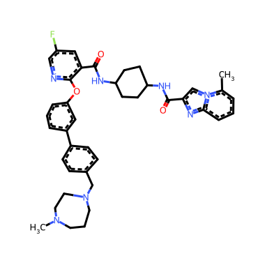 Cc1cccc2nc(C(=O)NC3CCC(NC(=O)c4cc(F)cnc4Oc4cccc(-c5ccc(CN6CCCN(C)CC6)cc5)c4)CC3)cn12